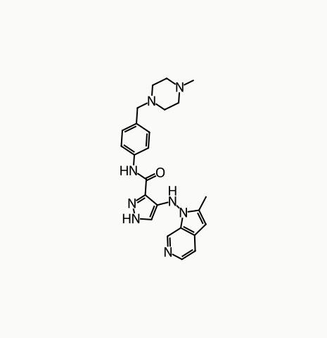 Cc1cc2ccncc2n1Nc1c[nH]nc1C(=O)Nc1ccc(CN2CCN(C)CC2)cc1